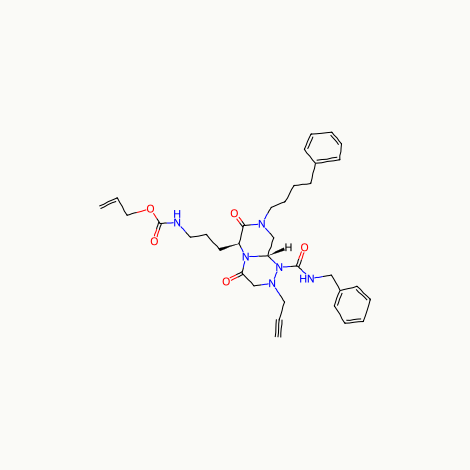 C#CCN1CC(=O)N2[C@@H](CCCNC(=O)OCC=C)C(=O)N(CCCCc3ccccc3)C[C@@H]2N1C(=O)NCc1ccccc1